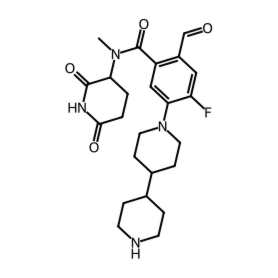 CN(C(=O)c1cc(N2CCC(C3CCNCC3)CC2)c(F)cc1C=O)C1CCC(=O)NC1=O